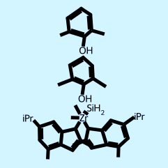 CC1=Cc2c(C)cc(C(C)C)cc2[CH]1[Zr]([CH3])([CH3])(=[SiH2])[CH]1C(C)=Cc2c(C)cc(C(C)C)cc21.Cc1cccc(C)c1O.Cc1cccc(C)c1O